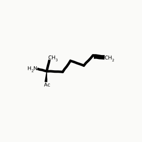 C=CCCC[C@@](C)(N)C(C)=O